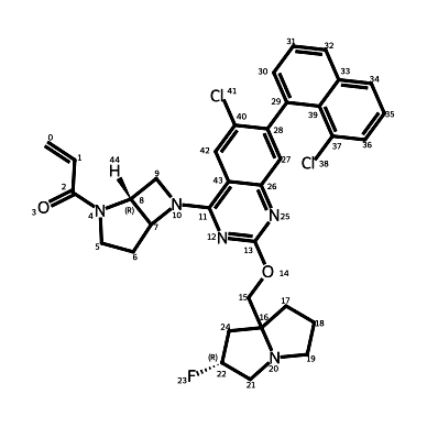 C=CC(=O)N1CCC2[C@H]1CN2c1nc(OCC23CCCN2C[C@H](F)C3)nc2cc(-c3cccc4cccc(Cl)c34)c(Cl)cc12